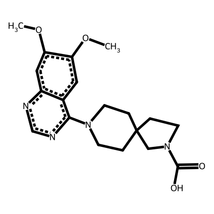 COc1cc2ncnc(N3CCC4(CCN(C(=O)O)C4)CC3)c2cc1OC